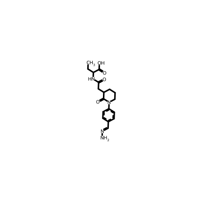 CCC(NC(=O)CC1CCCN(c2ccc(C=NN)cc2)C1=O)C(=O)O